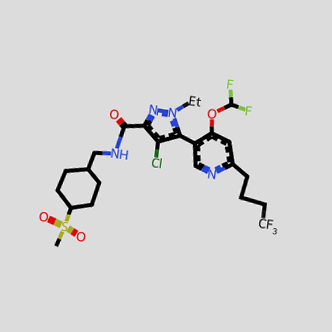 CCn1nc(C(=O)NCC2CCC(S(C)(=O)=O)CC2)c(Cl)c1-c1cnc(CCCC(F)(F)F)cc1OC(F)F